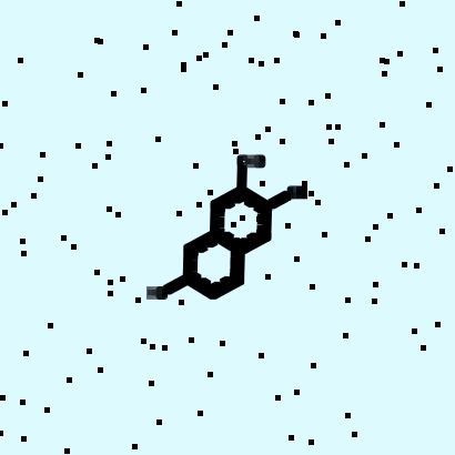 O=Cc1cc2cc(O)ccc2cc1O